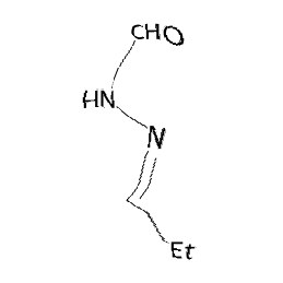 CCC=NNC=O